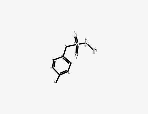 Cc1ccc(CS(=O)(=O)NC(C)C)cc1